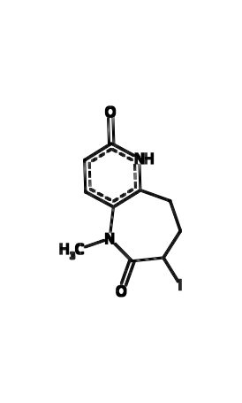 CN1C(=O)C(I)CCc2[nH]c(=O)ccc21